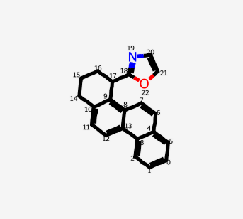 c1ccc2c(c1)ccc1c3c(ccc12)CCCC3c1ncco1